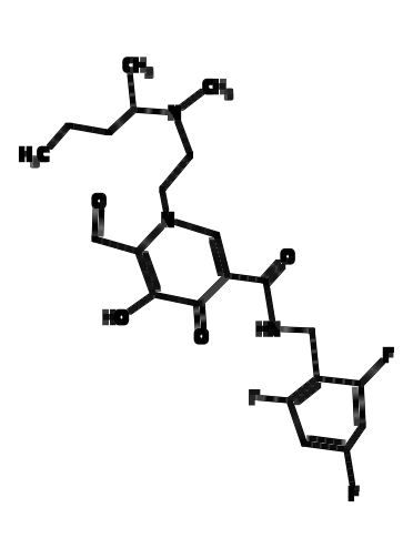 CCCC(C)N(C)CCn1cc(C(=O)NCc2c(F)cc(F)cc2F)c(=O)c(O)c1C=O